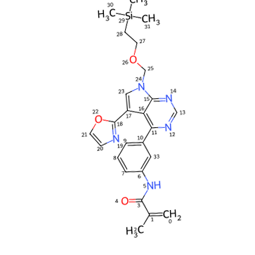 C=C(C)C(=O)Nc1cccc(-c2ncnc3c2c(-c2ncco2)cn3COCC[Si](C)(C)C)c1